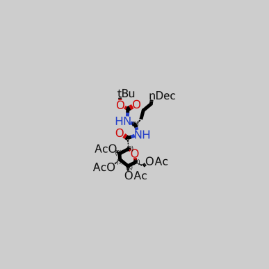 CCCCCCCCCCCCC[C@@H](NC(=O)OC(C)(C)C)NC(=O)[C@@H]1O[C@H](COC(C)=O)[C@@H](OC(C)=O)[C@H](OC(C)=O)[C@H]1OC(C)=O